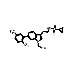 CC(C)(C)Cn1cc(CCNS(=O)(=O)C2CC2)c2ccc(-c3cc(C(F)(F)F)ccc3C(F)(F)F)cc21